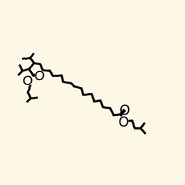 CC(C)CCOC(=O)CCCCCCCCCCCCCCCCC(C(C)C)C(C(=O)OCCC(C)C)C(C)C